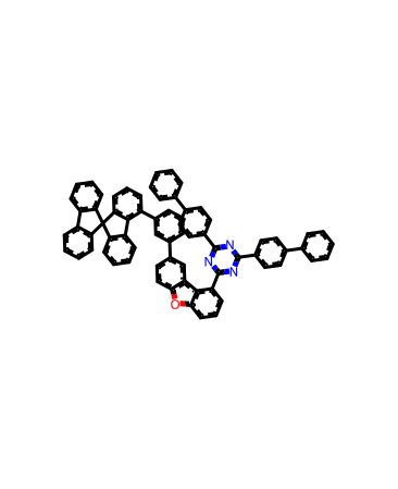 c1ccc(-c2ccc(-c3nc(-c4ccc(-c5ccccc5)cc4)nc(-c4cccc5oc6ccc(-c7cccc(-c8cccc9c8-c8ccccc8C98c9ccccc9-c9ccccc98)c7)cc6c45)n3)cc2)cc1